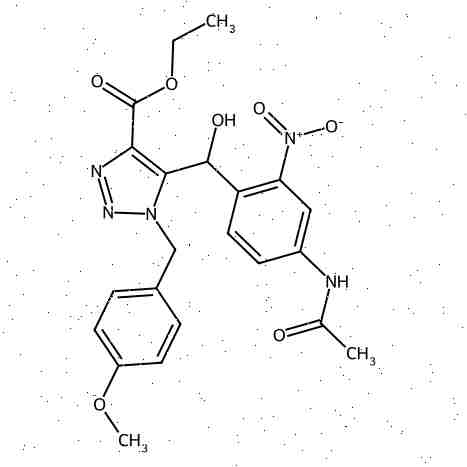 CCOC(=O)c1nnn(Cc2ccc(OC)cc2)c1C(O)c1ccc(NC(C)=O)cc1[N+](=O)[O-]